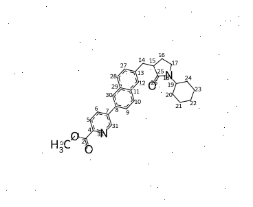 COC(=O)c1ccc(-c2ccc3cc(CC4CCN(C5CCCCC5)C4=O)ccc3c2)cn1